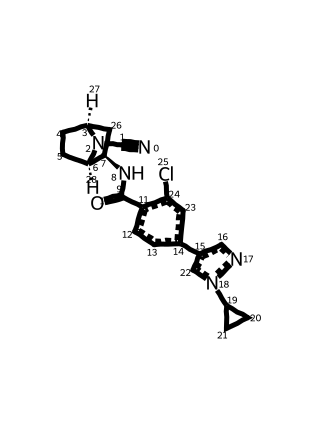 N#CN1[C@H]2CC[C@@H]1[C@H](NC(=O)c1ccc(-c3cnn(C4CC4)c3)cc1Cl)C2